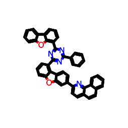 c1ccc(-c2nc(-c3cccc4c3oc3ccccc34)nc(-c3cccc4oc5cc(-c6ccc7ccc8ccccc8c7n6)ccc5c34)n2)cc1